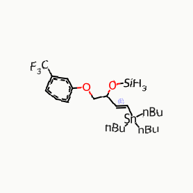 CCC[CH2][Sn](/[CH]=C/C(COc1cccc(C(F)(F)F)c1)O[SiH3])([CH2]CCC)[CH2]CCC